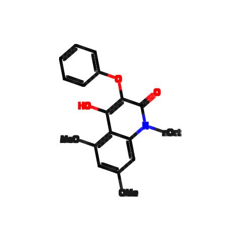 CCCCCCCCn1c(=O)c(Oc2ccccc2)c(O)c2c(OC)cc(OC)cc21